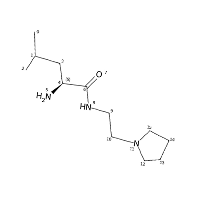 CC(C)C[C@H](N)C(=O)NCCN1CCCC1